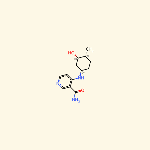 C[C@@H]1CC[C@@H](Nc2ccncc2C(N)=O)C[C@H]1O